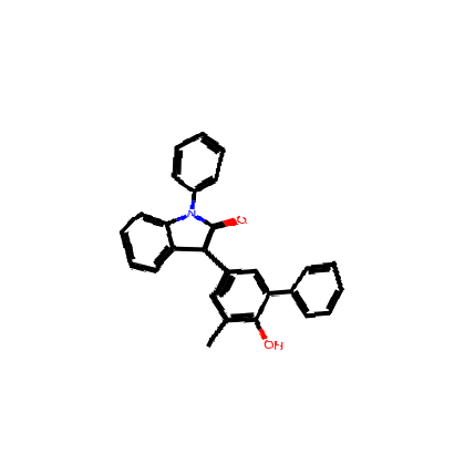 Cc1cc(C2C(=O)N(c3ccccc3)c3ccccc32)cc(-c2ccccc2)c1O